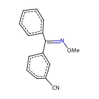 CON=C(c1ccccc1)c1cccc(C#N)c1